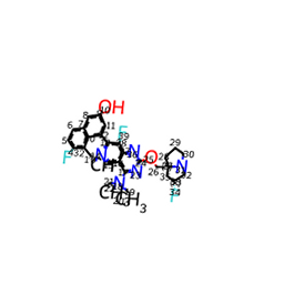 C#Cc1c(F)ccc2cc(O)cc(-c3ncc4c(N(CC)CC)nc(OC[C@@]56CCCN5C[C@H](F)C6)nc4c3F)c12